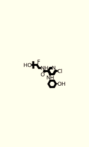 CC(C)(O)[C@H](F)CNC(=O)c1cnc(Cl)cc1N[C@H]1CCC[C@H](O)C1